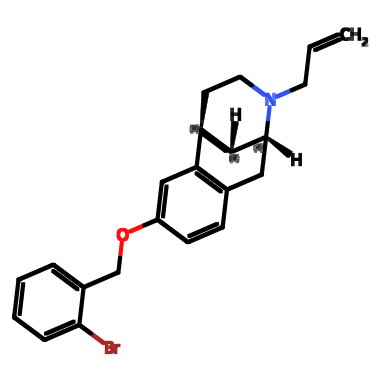 C=CCN1CC[C@]23CCCC[C@H]2[C@H]1Cc1ccc(OCc2ccccc2Br)cc13